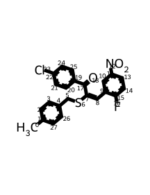 Cc1ccc(CS/C(=C/c2cc([N+](=O)[O-])ccc2F)C(=O)c2ccc(Cl)cc2)cc1